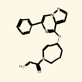 C=CC(=O)N1CCC[C@@H](Oc2nc(-c3ccccc3)cn3nccc23)CC1